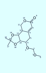 COCOC1CC2=CC(=O)OCC2C2OC(C)(C)OC12